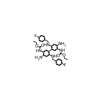 CCOC(=O)Nc1cc(-c2cc(NC(=O)OCC)c(N)cc2NCc2ccc(F)cc2)c(NCc2ccc(F)cc2)cc1N